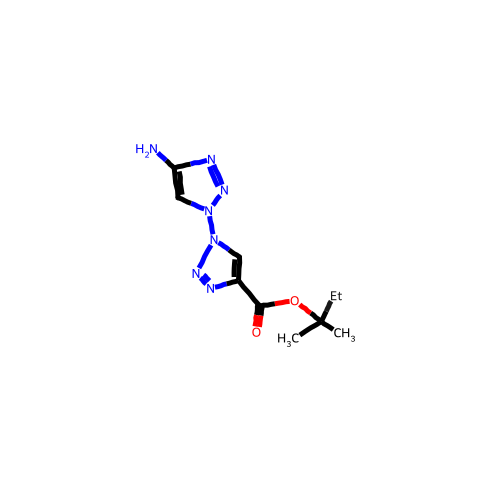 CCC(C)(C)OC(=O)c1cn(-n2cc(N)nn2)nn1